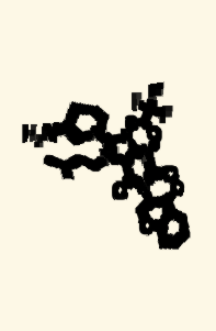 CC(C)=CCN1c2c(n(C)c(=O)n(-c3coc4ccccc4c3=O)c2=O)N(OC(=O)C(F)(F)F)C1N1CCCC(N)C1